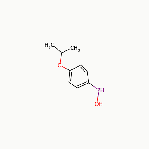 CC(C)Oc1ccc(PO)cc1